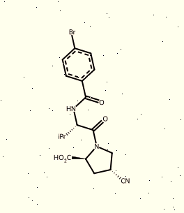 CC(C)[C@H](NC(=O)c1ccc(Br)cc1)C(=O)N1C[C@H](C#N)C[C@H]1C(=O)O